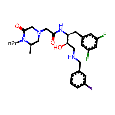 CCCN1C(=O)CN(CC(=O)N[C@@H](Cc2cc(F)cc(F)c2)[C@H](O)CNCc2cccc(I)c2)C[C@H]1C